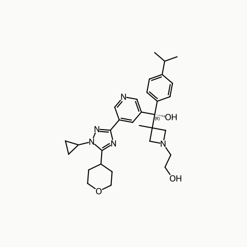 CC(C)c1ccc([C@](O)(c2cncc(-c3nc(C4CCOCC4)n(C4CC4)n3)c2)C2(C)CN(CCO)C2)cc1